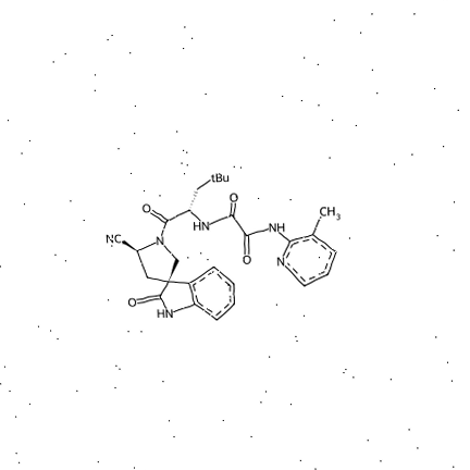 Cc1cccnc1NC(=O)C(=O)N[C@@H](CC(C)(C)C)C(=O)N1C[C@]2(C[C@H]1C#N)C(=O)Nc1ccccc12